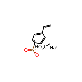 C=Cc1ccc([S-](=O)=O)cc1.CC(=O)O.[Na+]